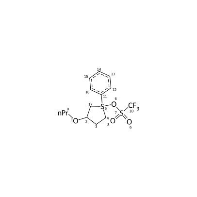 CCCOC1CCS(OS(=O)(=O)C(F)(F)F)(c2ccccc2)C1